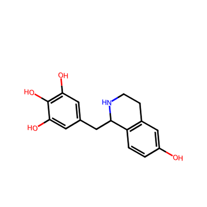 Oc1ccc2c(c1)CCNC2Cc1cc(O)c(O)c(O)c1